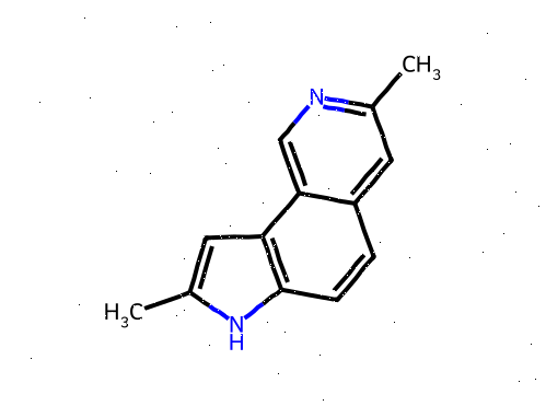 Cc1cc2ccc3[nH]c(C)cc3c2cn1